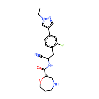 CCn1cc(-c2ccc(CC(C#N)NC(=O)[C@@H]3CNCCCO3)c(F)c2)cn1